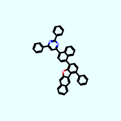 c1ccc(-c2cc(-c3ccc(-c4ccc(-c5ccccc5)c5c4oc4cc6ccccc6cc45)c4ccccc34)nc(-c3ccccc3)n2)cc1